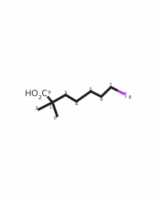 CC(C)(CCCCCI)C(=O)O